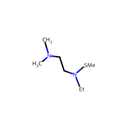 CCN(CCN(C)C)SC